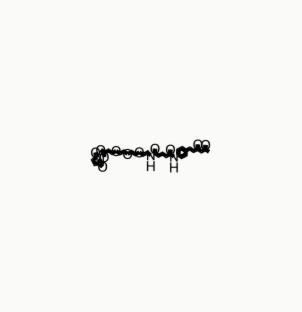 CC(=O)CC(=O)CCc1ccc(NC(=O)CCCC(=O)NCCOCCOCCOCCC(=O)ON2C(=O)CCC2=O)cc1